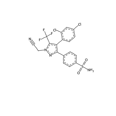 N#CCn1nc(-c2ccc(S(N)(=O)=O)cc2)c(-c2ccc(Cl)cc2Cl)c1C(F)(F)F